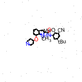 COc1c(C#N)cc(C(C)(C)C)cc1NC(=O)c1cc2cccc(Oc3ccncc3)c2n1C